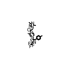 Cc1ccc(-c2nc(C(F)(F)F)sc2N2CCN(C(=O)Cn3nc(C)nc3C)[C@H](C)C2)cc1